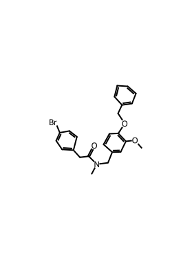 COc1cc(CN(C)C(=O)Cc2ccc(Br)cc2)ccc1OCc1ccccc1